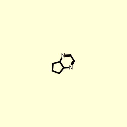 C1=NC2CCCC2N=C1